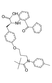 Cc1ccc(N(CCCOc2ccc(C[C@H](Nc3ccccc3C(=O)c3ccccc3)C(=O)O)cc2)C(=O)C(C)(C)C)cc1